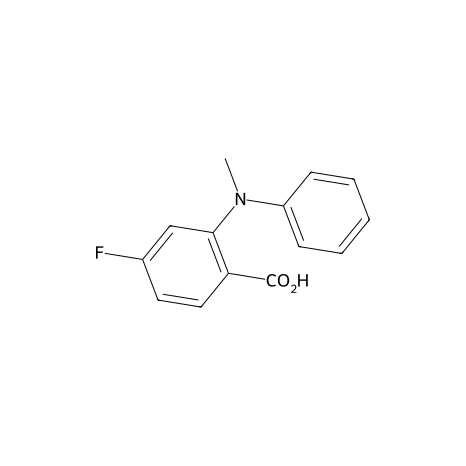 CN(c1ccccc1)c1cc(F)ccc1C(=O)O